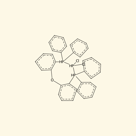 Cl[PH]1(Cl)[PH](c2ccccc2)(c2ccccc2)c2ccccc2Oc2ccccc2[PH]1(c1ccccc1)c1ccccc1